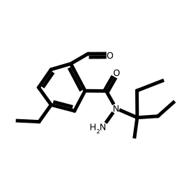 CCc1ccc([C]=O)c(C(=O)N(N)C(C)(CC)CC)c1